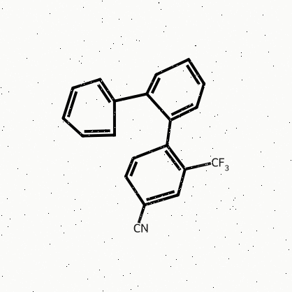 N#Cc1ccc(-c2ccccc2-c2ccccc2)c(C(F)(F)F)c1